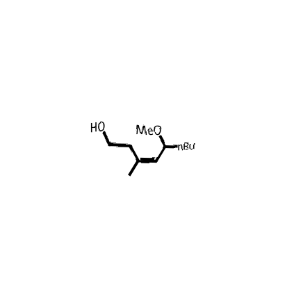 CCCCC(C=C(C)CCO)OC